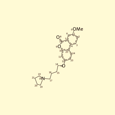 COc1ccc2c(c1)c(=O)oc1cc(OCCCCN3CCCC3)ccc12